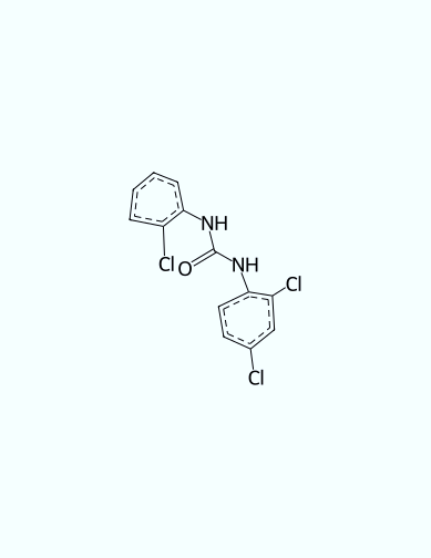 O=C(Nc1ccccc1Cl)Nc1ccc(Cl)cc1Cl